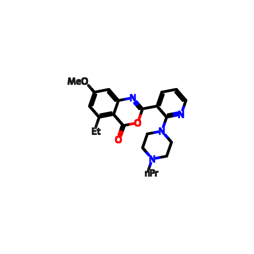 CCCN1CCN(c2ncccc2-c2nc3cc(OC)cc(CC)c3c(=O)o2)CC1